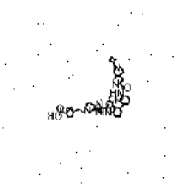 Cn1c(C(=O)Nc2cccc(-c3cccc(NC(=O)c4cc5c(cn4)CN(C4CCC4)CC5)c3Cl)c2Cl)nc2c1CCN(CCC13CCC(C(=O)O)(CC1)C3)C2